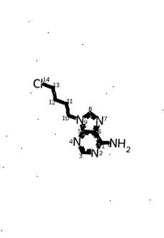 Nc1ncnc2c1ncn2CCCCCl